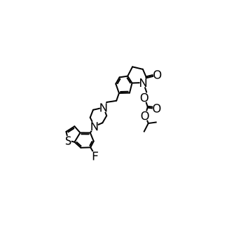 CC(C)OC(=O)OCN1C(=O)CCc2ccc(CCN3CCN(c4cc(F)cc5sccc45)CC3)cc21